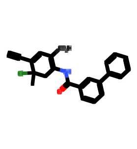 C#CC1=CC(C(=O)O)=C(NC(=O)c2cccc(-c3ccccc3)c2)CC1(C)Cl